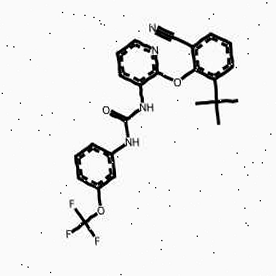 CC(C)(C)c1cccc(C#N)c1Oc1ncccc1NC(=O)Nc1cccc(OC(F)(F)F)c1